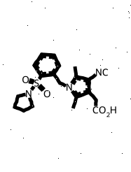 [C-]#[N+]c1c(CC(=O)O)c(C)n(Cc2ccccc2S(=O)(=O)N2CCCC2)c1C